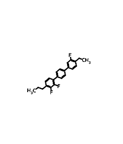 CCCc1ccc(-c2ccc(-c3ccc(CC)c(F)c3)cc2)c(F)c1F